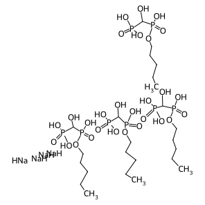 CCCCCOP(=O)(O)C(O)P(=O)(O)O.CCCCCOP(=O)(O)C(O)P(=O)(O)O.CCCCCOP(=O)(O)C(O)P(=O)(O)O.CCCCCOP(=O)(O)C(O)P(=O)(O)O.[NaH].[NaH].[NaH].[NaH]